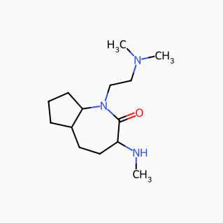 CNC1CCC2CCCC2N(CCN(C)C)C1=O